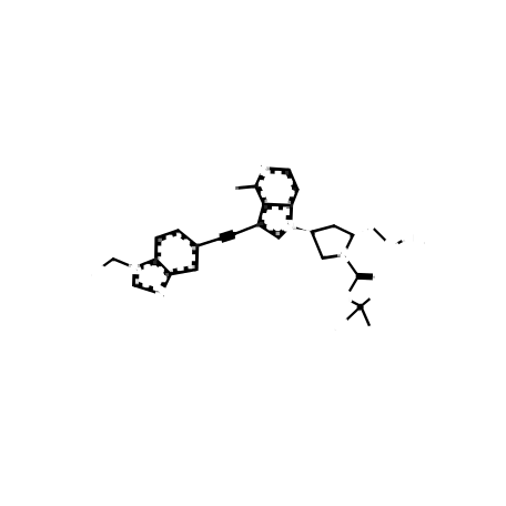 CCn1cnc2cc(C#Cc3cn([C@H]4C[C@H](COC)N(C(=O)OC(C)(C)C)C4)c4ccnc(Cl)c34)ccc21